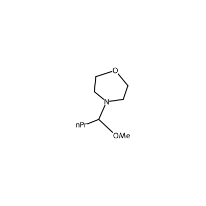 CCCC(OC)N1CCOCC1